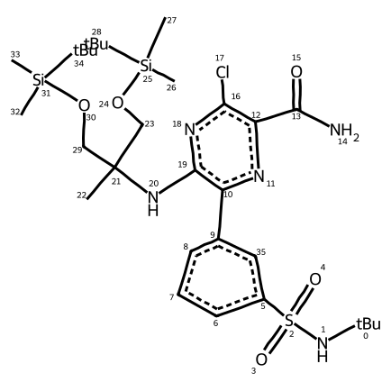 CC(C)(C)NS(=O)(=O)c1cccc(-c2nc(C(N)=O)c(Cl)nc2NC(C)(CO[Si](C)(C)C(C)(C)C)CO[Si](C)(C)C(C)(C)C)c1